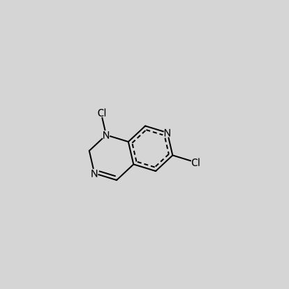 Clc1cc2c(cn1)N(Cl)CN=C2